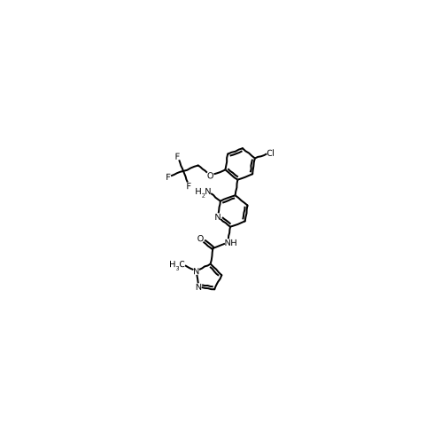 Cn1nccc1C(=O)Nc1ccc(-c2cc(Cl)ccc2OCC(F)(F)F)c(N)n1